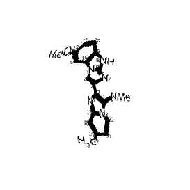 CNc1c(-c2cn3c(n2)[nH]c2ccc(OC)cc23)nc2cc(C)ccn12